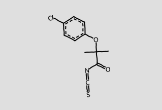 CC(C)(Oc1ccc(Cl)cc1)C(=O)N=C=S